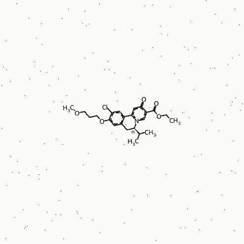 CCOC(=O)c1cn2c(cc1=O)-c1cc(Cl)c(OCCCOC)cc1C[C@@H]2C(C)C